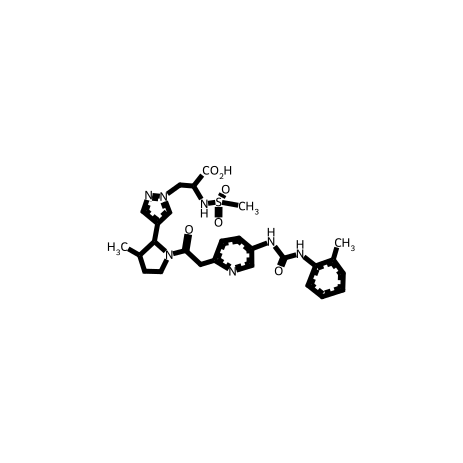 Cc1ccccc1NC(=O)Nc1ccc(CC(=O)N2CCC(C)C2c2cnn(CC(NS(C)(=O)=O)C(=O)O)c2)nc1